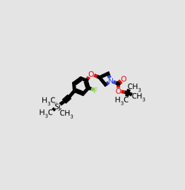 CC(C)(C)OC(=O)N1CC(Oc2ccc(C#C[Si](C)(C)C)cc2F)C1